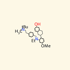 CCN(Cc1ccc(CCN(C)C(C)(C)C)cc1)c1cc(OC)ccc1[C@@H]1CCc2cc(O)ccc2C1